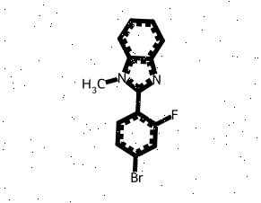 Cn1c(-c2ccc(Br)cc2F)nc2ccccc21